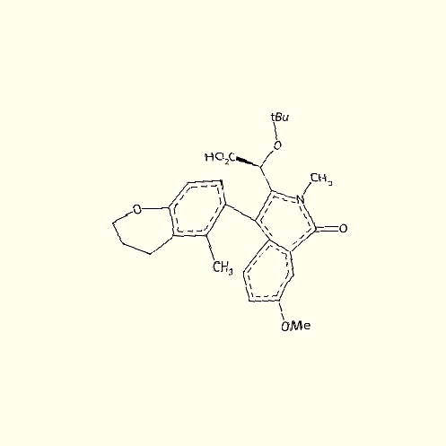 COc1ccc2c(-c3ccc4c(c3C)CCCO4)c([C@H](OC(C)(C)C)C(=O)O)n(C)c(=O)c2c1